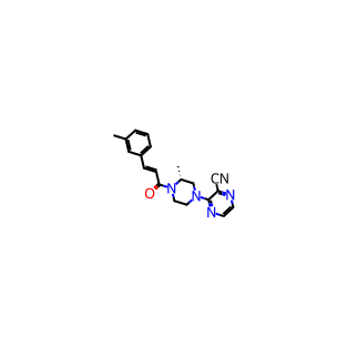 Cc1cccc(/C=C/C(=O)N2CCN(c3nccnc3C#N)C[C@H]2C)c1